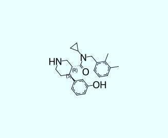 Cc1cccc(CN(C(=O)[C@H]2CNCC[C@@H]2c2cccc(O)c2)C2CC2)c1C